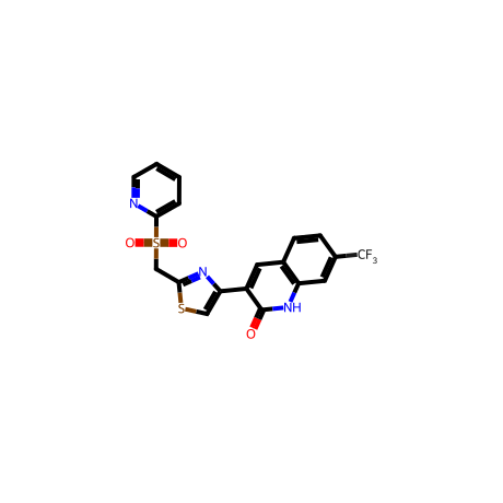 O=c1[nH]c2cc(C(F)(F)F)ccc2cc1-c1csc(CS(=O)(=O)c2ccccn2)n1